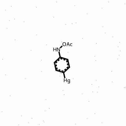 CC(=O)ONc1cc[c]([Hg])cc1